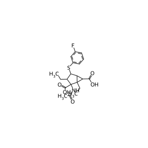 CCC1C(Sc2cccc(F)c2)C2C(C(=O)O)C2(CC)C1(NC(C)=O)C(=O)O